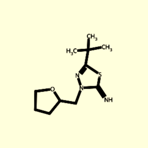 CC(C)(C)c1nn(CC2CCCO2)c(=N)s1